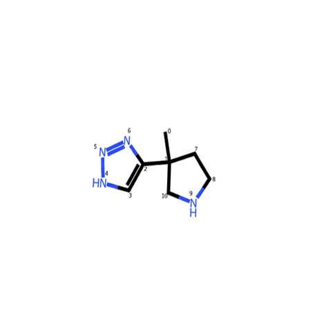 CC1(c2c[nH]nn2)CCNC1